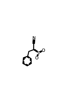 N#CC(Cc1ccccc1)=S(=O)=O